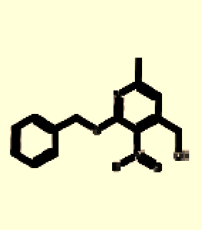 Cc1cc(CO)c([N+](=O)[O-])c(OCc2ccccc2)n1